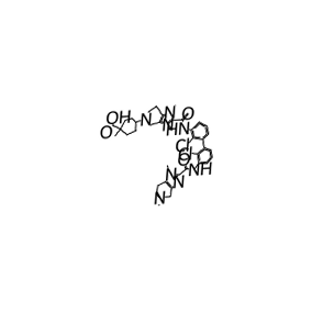 CN1CCc2c(nc(C(=O)Nc3cccc(-c4cccc(NC(=O)c5nc6c(n5C)CCN(C5CCC(C)(C(=O)O)CC5)C6)c4Cl)c3Cl)n2C)C1